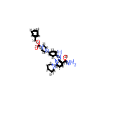 C[C@@H]1CCCN(c2ccc(C(N)=O)c(Nc3ccc(N4CCN(C(=O)OCc5ccccc5)CC4)cc3)n2)C1